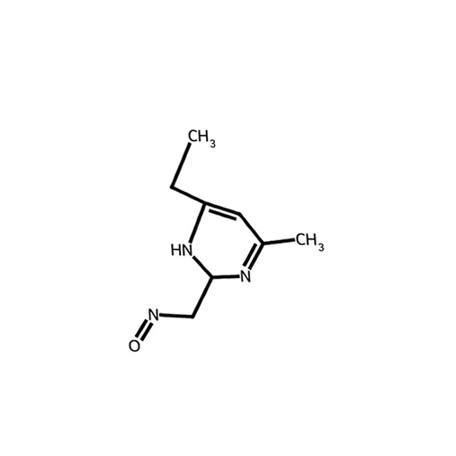 CCC1=CC(C)=NC(CN=O)N1